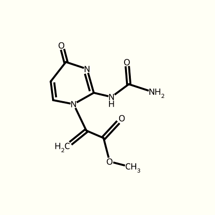 C=C(C(=O)OC)n1ccc(=O)nc1NC(N)=O